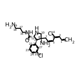 C=C/C=C(Cl)\C=C/C[C@@]1(N)CN[C@@H](C(=O)NCCCN)[C@@H]1c1cccc(Cl)c1